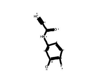 C#CC(=O)Nc1ccc(F)c(Cl)c1